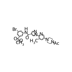 CC(=O)N1CCN(c2cnc(-n3cc(C(=O)Nc4cc(Br)cc(S(C)(=O)=O)c4)cn3)c(C)c2)CC1